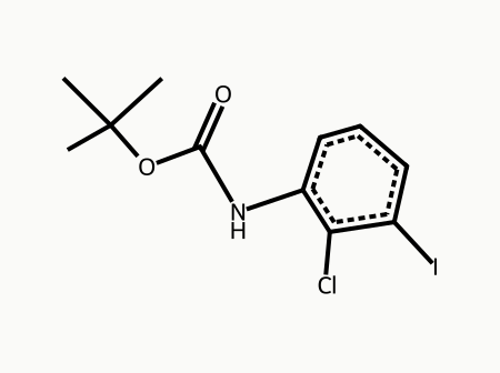 CC(C)(C)OC(=O)Nc1cccc(I)c1Cl